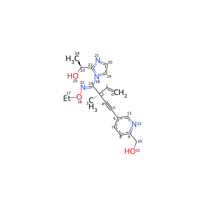 C=C[C@@](C)(C#Cc1ccc(CO)nc1)/C(=N\OCC)n1ccnc1[C@H](C)O